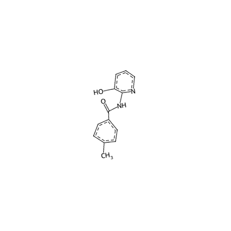 Cc1ccc(C(=O)Nc2ncccc2O)cc1